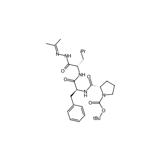 CC(C)=NNC(=O)[C@H](CC(C)C)NC(=O)[C@H](Cc1ccccc1)NC(=O)[C@@H]1CCCN1C(=O)OC(C)(C)C